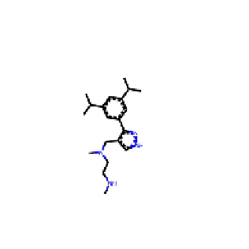 CNCCN(C)Cc1c[nH]nc1-c1cc(C(C)C)cc(C(C)C)c1